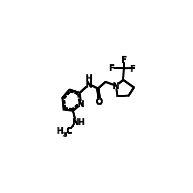 CNc1cccc(NC(=O)CN2CCCC2C(F)(F)F)n1